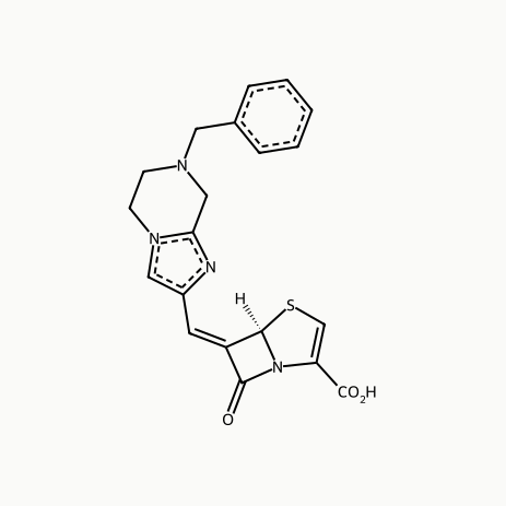 O=C(O)C1=CS[C@@H]2/C(=C\c3cn4c(n3)CN(Cc3ccccc3)CC4)C(=O)N12